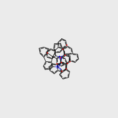 c1ccc(C2(c3ccccc3)c3ccccc3-c3cccc(-n4c5ccccc5c5ccc(-c6ccccc6-c6ccccc6N(c6cccc7ccccc67)c6cccc7ccccc67)cc54)c32)cc1